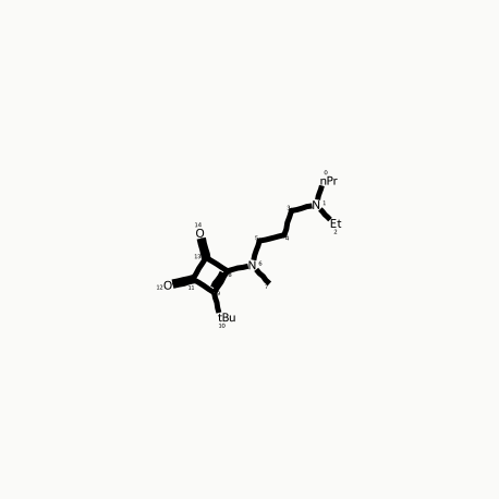 CCCN(CC)CCCN(C)c1c(C(C)(C)C)c(=O)c1=O